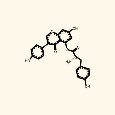 N[C@@H](Cc1ccc(O)cc1)C(=O)Oc1cc(O)cc2occ(-c3ccc(O)cc3)c(=O)c12